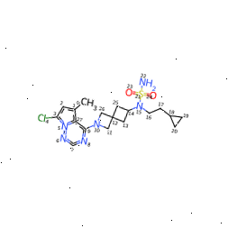 Cc1cc(Cl)n2ncnc(N3CC4(CC(N(CCC5CC5)S(N)(=O)=O)C4)C3)c12